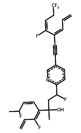 C=C/C=C(C#Cc1ccc(C(F)CC(C)(O)C(/C=C\C(C)F)=C(\F)C=C)nc1)\C(F)=C/CC(F)(F)F